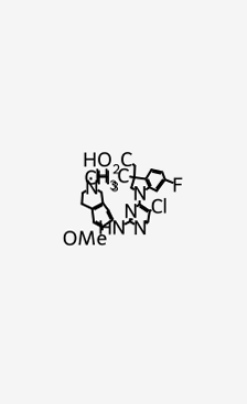 COc1cc2c(cc1Nc1ncc(Cl)c(N3CC(C)(CC(=O)O)c4ccc(F)cc43)n1)CN(C)CC2